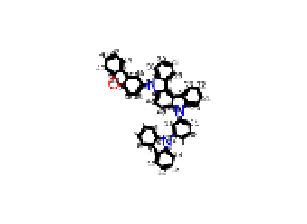 c1cc(-n2c3ccccc3c3ccccc32)cc(-n2c3ccccc3c3c4c5ccccc5n(-c5ccc6oc7ccccc7c6c5)c4ccc32)c1